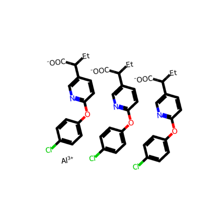 CCC(C(=O)[O-])c1ccc(Oc2ccc(Cl)cc2)nc1.CCC(C(=O)[O-])c1ccc(Oc2ccc(Cl)cc2)nc1.CCC(C(=O)[O-])c1ccc(Oc2ccc(Cl)cc2)nc1.[Al+3]